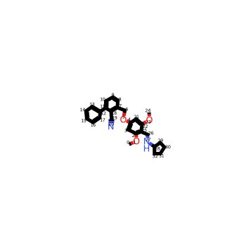 COc1cc(OCc2cccc(-c3ccccc3)c2C#N)cc(OC)c1CNC1CCCC1